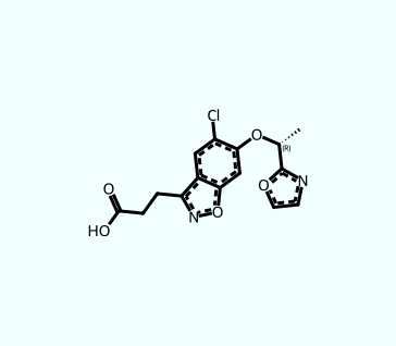 C[C@@H](Oc1cc2onc(CCC(=O)O)c2cc1Cl)c1ncco1